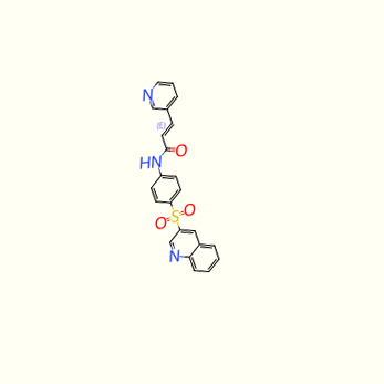 O=C(/C=C/c1cccnc1)Nc1ccc(S(=O)(=O)c2cnc3ccccc3c2)cc1